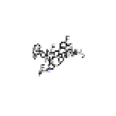 C[C@H]1CN2CCCC2(COc2nc3c4c(c(Cl)c(-c5ccc(F)c6sc(N)c(C#N)c56)c(F)c4n2)OCCC2C/C(=C/C(F)F)CN32)C1